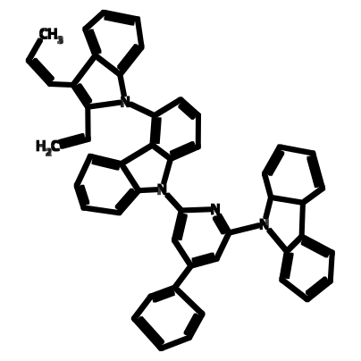 C=Cc1c(/C=C\C)c2ccccc2n1-c1cccc2c1c1ccccc1n2-c1cc(-c2ccccc2)cc(N2c3ccccc3C3C=CC=CC32)n1